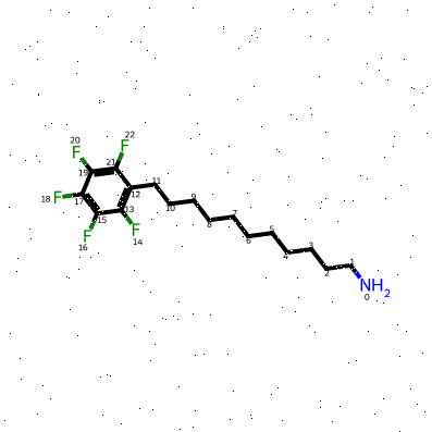 NCCCCCCCCCCCc1c(F)c(F)c(F)c(F)c1F